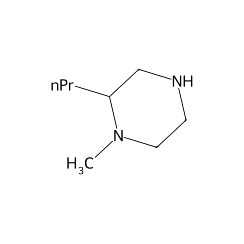 [CH2]CCC1CNCCN1C